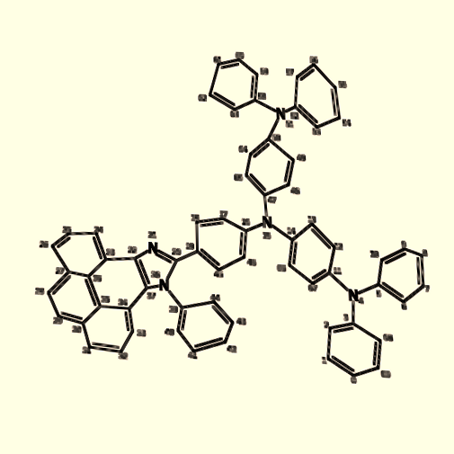 c1ccc(N(c2ccccc2)c2ccc(N(c3ccc(-c4nc5c6cccc7ccc8cccc(c8c76)c5n4-c4ccccc4)cc3)c3ccc(N(c4ccccc4)c4ccccc4)cc3)cc2)cc1